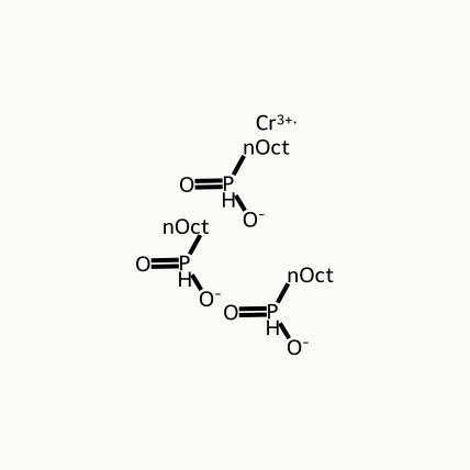 CCCCCCCC[PH](=O)[O-].CCCCCCCC[PH](=O)[O-].CCCCCCCC[PH](=O)[O-].[Cr+3]